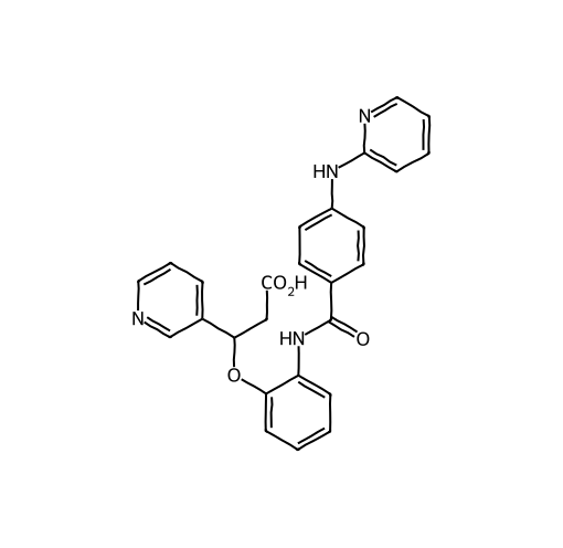 O=C(O)CC(Oc1ccccc1NC(=O)c1ccc(Nc2ccccn2)cc1)c1cccnc1